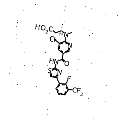 C[C@@H](CC(=O)O)N(C)c1ncc(C(=O)Nc2nc(-c3cccc(C(F)(F)F)c3F)cs2)cc1Cl